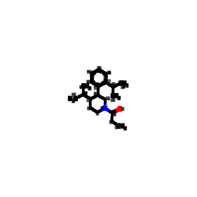 CCC(=O)N1CCC(C(C)C)C(c2ccccc2C(C)C)C1